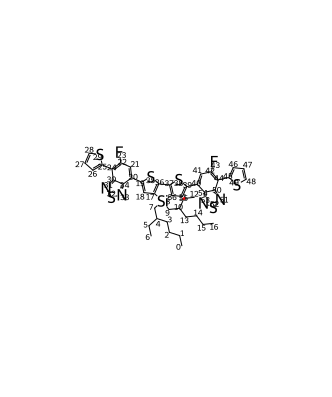 CCCCC(CC)C[Si]1(CC(CC)CCCC)c2cc(-c3cc(F)c(-c4cccs4)c4nsnc34)sc2-c2sc(-c3cc(F)c(-c4cccs4)c4nsnc34)cc21